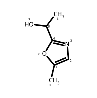 Cc1cnc(C(C)O)o1